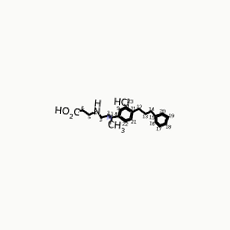 C/C(=C\CNCCC(=O)O)c1ccc(CCCc2ccccc2)cc1.Cl